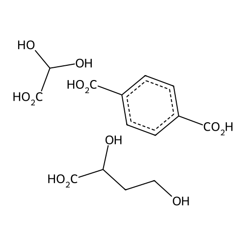 O=C(O)C(O)CCO.O=C(O)C(O)O.O=C(O)c1ccc(C(=O)O)cc1